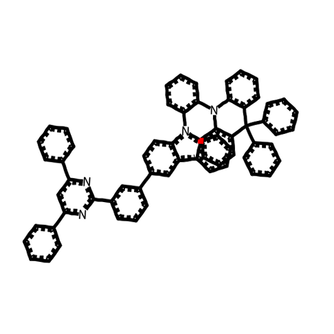 c1ccc(-c2cc(-c3ccccc3)nc(-c3cccc(-c4ccc5c(c4)c4ccccc4n5-c4ccccc4N4c5ccccc5C(c5ccccc5)(c5ccccc5)c5ccccc54)c3)n2)cc1